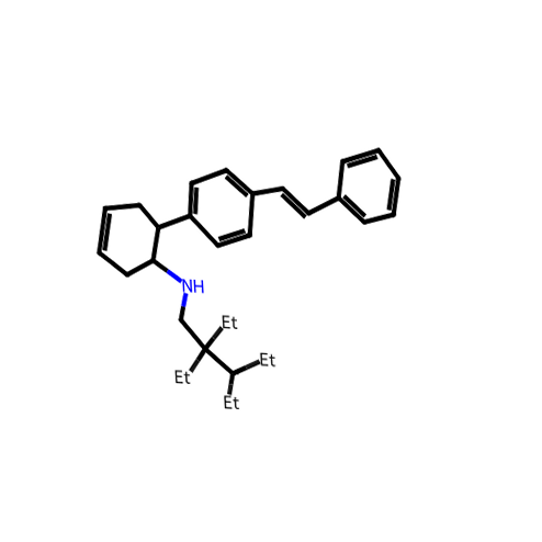 CC[C](CC)C(CC)(CC)CNC1CC=CCC1c1ccc(C=Cc2ccccc2)cc1